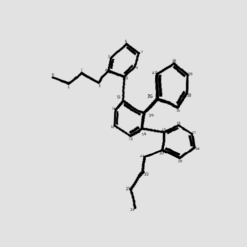 CCCCc1ccccc1-c1[c]ccc(-c2ccccc2CCCC)c1-c1ccccc1